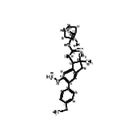 CCc1ccc(-c2cc3c(cc2OC)C(NC(=O)O[C@H]2CN4CCC2CC4)C(C)(C)C3)cc1